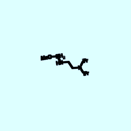 CO[SiH2]NCCN(C(C)C)C(C)C